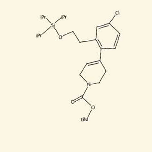 CC(C)[Si](OCCc1cc(Cl)ccc1C1=CCN(C(=O)OC(C)(C)C)CC1)(C(C)C)C(C)C